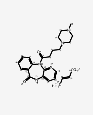 CN1CCN(CCCC(=O)N2c3ccccc3C(=O)Nc3cccnc32)CC1.O=C(O)C=CC(=O)O